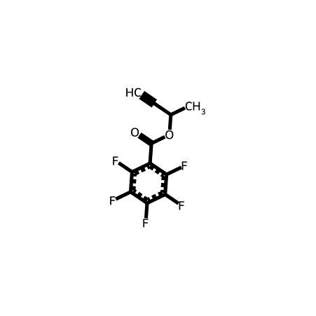 C#CC(C)OC(=O)c1c(F)c(F)c(F)c(F)c1F